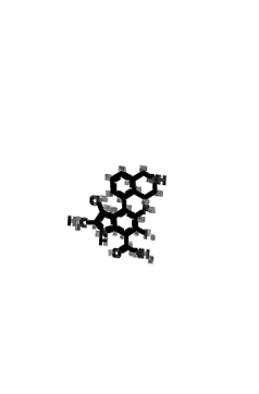 Cc1[nH]c2c(C(N)=O)c(F)c(F)c(-c3cccc4c3CCNC4)c2c1Cl